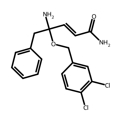 NC(=O)C=CC(N)(Cc1ccccc1)OCc1ccc(Cl)c(Cl)c1